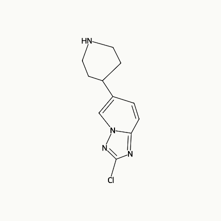 Clc1nc2ccc(C3CCNCC3)cn2n1